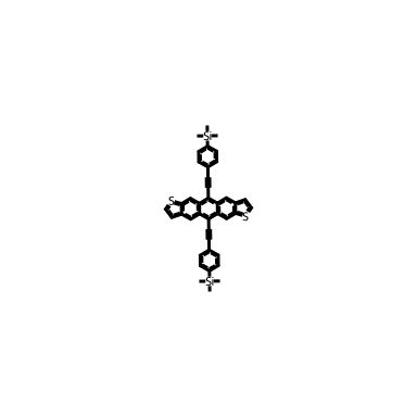 C[Si](C)(C)c1ccc(C#Cc2c3cc4ccsc4cc3c(C#Cc3ccc([Si](C)(C)C)cc3)c3cc4ccsc4cc23)cc1